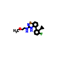 COCCNC1=NSc2cccc(-c3cccc(F)c3C3CC3)c2N1